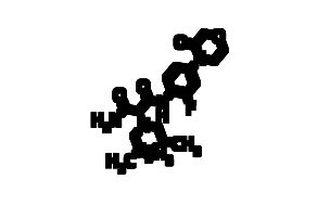 CC(C)CN(CC(C)C)[C@@H](C(N)=O)C(=O)Nc1ccc(N2CCOCC2=O)cc1F